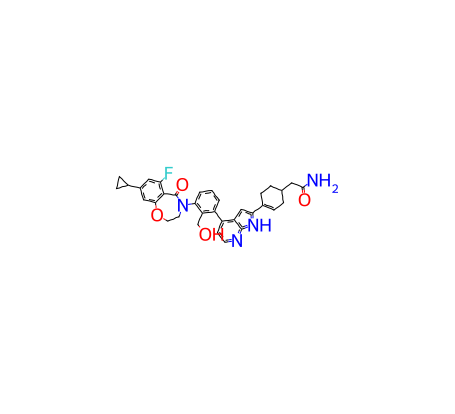 NC(=O)CC1CC=C(c2cc3c(-c4cccc(N5CCOc6cc(C7CC7)cc(F)c6C5=O)c4CO)ccnc3[nH]2)CC1